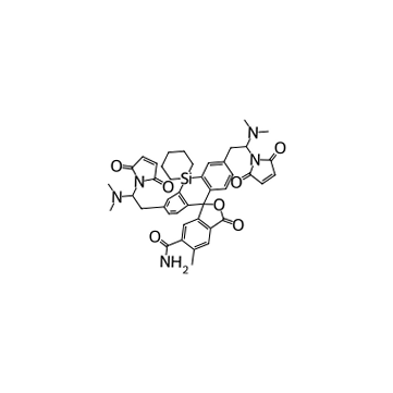 Cc1cc2c(cc1C(N)=O)C1(OC2=O)c2ccc(CC(N(C)C)N3C(=O)C=CC3=O)cc2[Si]2(CCCCC2)c2cc(CC(N(C)C)N3C(=O)C=CC3=O)ccc21